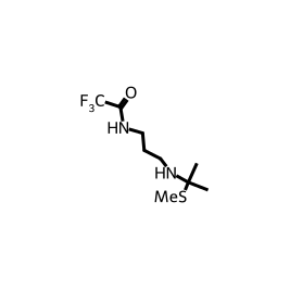 CSC(C)(C)NCCCNC(=O)C(F)(F)F